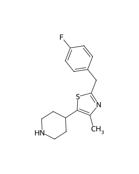 Cc1nc(Cc2ccc(F)cc2)sc1C1CCNCC1